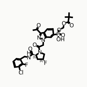 CC(=O)c1nn(CC(=O)N2C[C@H](F)C[C@H]2C(=O)NCc2cccc(Cl)c2F)c2cc(P(=O)(O)OCOC(=O)C(C)(C)C)ccc12